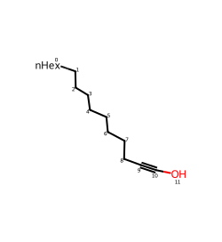 CCCCCCCCCCCCCCC#CO